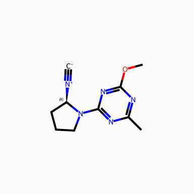 [C-]#[N+][C@@H]1CCCN1c1nc(C)nc(OC)n1